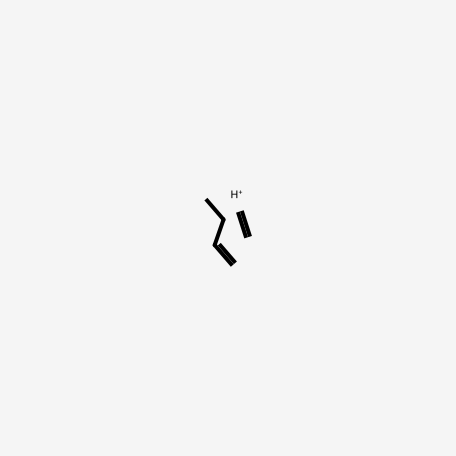 C=C.C=CCC.[H+]